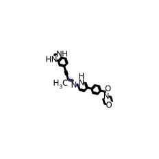 C/C(C#Cc1ccc2c(c1)NCN2)=C\N=c1\ccc(-c2ccc(C(=O)N3CCOCC3)cc2)c[nH]1